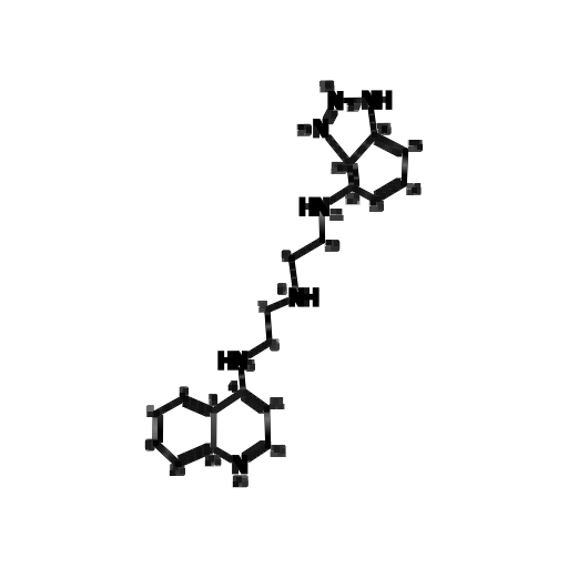 c1ccc2c(NCCNCCNc3cccc4[nH]nnc34)ccnc2c1